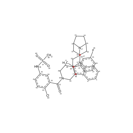 Cc1nc2ccccc2n1C1CC2CCC(C1)N2CCC1(c2cccc(F)c2)CCN(C(=O)c2cc(NS(C)(=O)=O)ccc2Cl)CC1